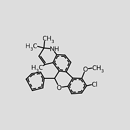 COc1c(Cl)ccc2c1-c1ccc3c(c1C(c1ccccc1)O2)C(C)=CC(C)(C)N3